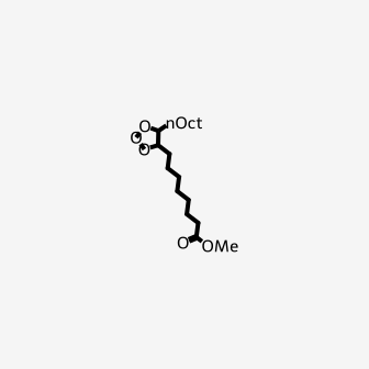 CCCCCCCCC1OOOC1CCCCCCCC(=O)OC